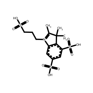 CC1=[N+](CCCS(=O)(=O)O)c2cc(S(=O)(=O)O)cc(S(=O)(=O)O)c2C1(C)C